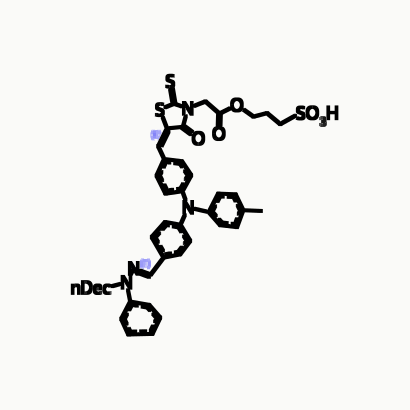 CCCCCCCCCCN(/N=C/c1ccc(N(c2ccc(C)cc2)c2ccc(/C=C3/SC(=S)N(CC(=O)OCCCS(=O)(=O)O)C3=O)cc2)cc1)c1ccccc1